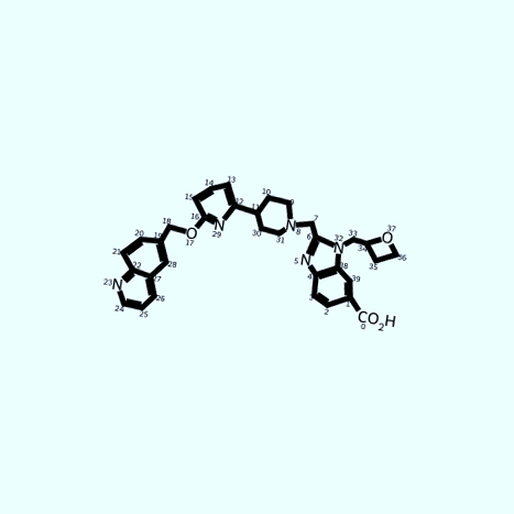 O=C(O)c1ccc2nc(CN3CCC(c4cccc(OCc5ccc6ncccc6c5)n4)CC3)n(CC3CCO3)c2c1